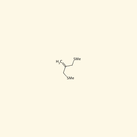 C=C(CSC)CSC